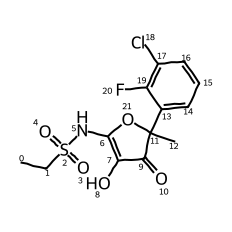 CCS(=O)(=O)NC1=C(O)C(=O)C(C)(c2cccc(Cl)c2F)O1